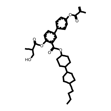 C=C(C)C(=O)Oc1ccc(-c2ccc(OC(=O)C(C)CO)c(C(=O)OC3CCC(C4CCC(CCCC)CC4)CC3)c2)cc1